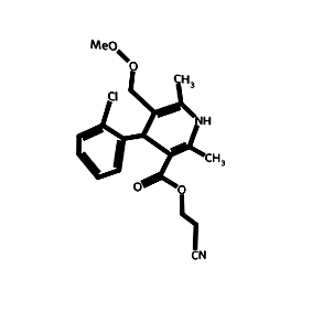 COOCC1=C(C)NC(C)=C(C(=O)OCCC#N)C1c1ccccc1Cl